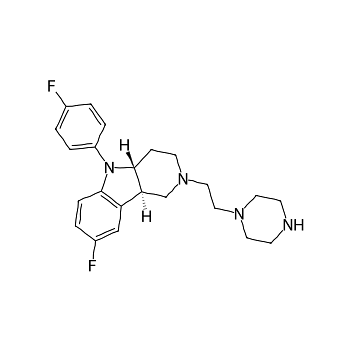 Fc1ccc(N2c3ccc(F)cc3[C@@H]3CN(CCN4CCNCC4)CC[C@H]32)cc1